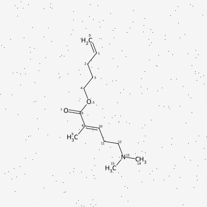 C=CCCCOC(=O)C(C)=CCCN(C)C